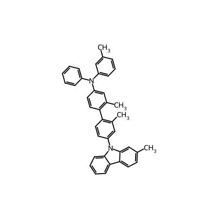 Cc1cccc(N(c2ccccc2)c2ccc(-c3ccc(-n4c5ccccc5c5ccc(C)cc54)cc3C)c(C)c2)c1